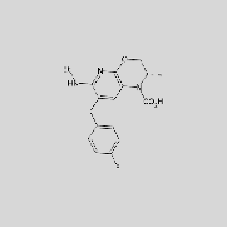 CCNc1nc2c(cc1Cc1ccc(F)cc1)N(C(=O)O)[C@@H](C)CO2